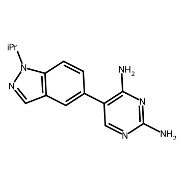 CC(C)n1ncc2cc(-c3cnc(N)nc3N)ccc21